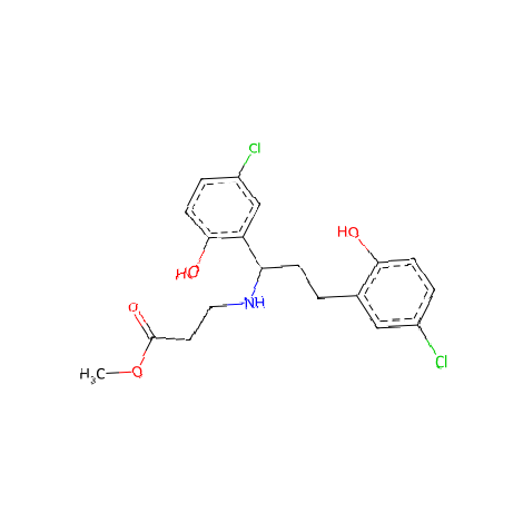 COC(=O)CCNC(CCc1cc(Cl)ccc1O)c1cc(Cl)ccc1O